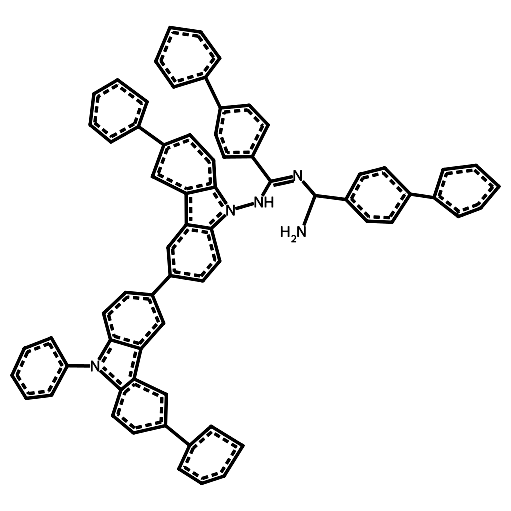 NC(/N=C(\Nn1c2ccc(-c3ccccc3)cc2c2cc(-c3ccc4c(c3)c3cc(-c5ccccc5)ccc3n4-c3ccccc3)ccc21)c1ccc(-c2ccccc2)cc1)c1ccc(-c2ccccc2)cc1